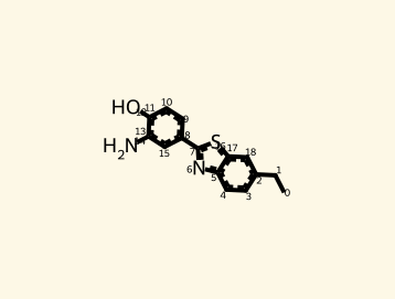 CCc1ccc2nc(-c3ccc(O)c(N)c3)sc2c1